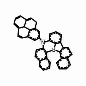 C1=CC2=CCc3cc(N4c5cccc6c5B(c5c-6ccc6ccccc56)c5c4ccc4ccccc54)cc4c3C2C(=C1)C=C4